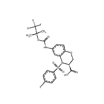 CC(C)(OC(=O)Nc1ccc2c(c1)N(S(=O)(=O)c1ccc(F)cc1)[C@H](C(=O)O)CO2)C(F)(F)F